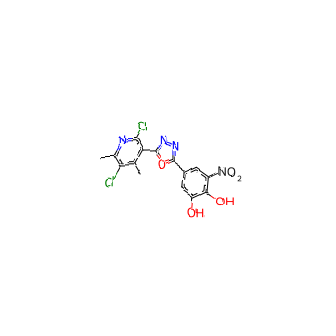 Cc1nc(Cl)c(-c2nnc(-c3cc(O)c(O)c([N+](=O)[O-])c3)o2)c(C)c1Cl